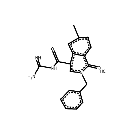 Cc1ccc2c(=O)n(Cc3ccccc3)cc(C(=O)NC(=N)N)c2c1.Cl